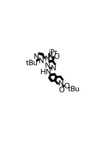 CC(C)n1c(=O)c2cnc(Nc3ccc4c(c3)CCN(C(=O)OC(C)(C)C)C4)nc2n1-c1ccnc(C(C)(C)C)n1